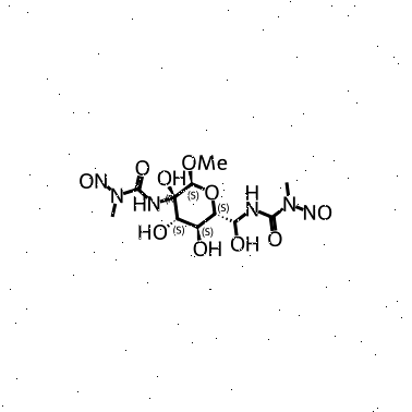 CO[C@H]1O[C@H](C(O)NC(=O)N(C)N=O)[C@@H](O)[C@H](O)[C@]1(O)NC(=O)N(C)N=O